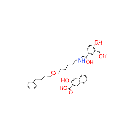 O=C(O)c1cc2ccccc2cc1O.OCc1cc(C(O)CNCCCCCCOCCCCc2ccccc2)ccc1O